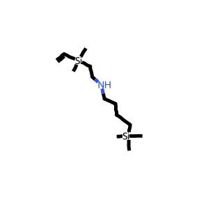 C=C[Si](C)(C)CCNCCCC[Si](C)(C)C